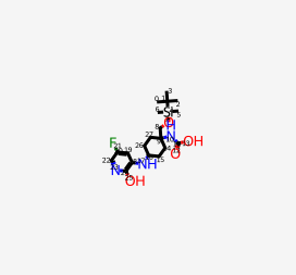 CC(C)(C)[Si](C)(C)OCC1(NC(=O)O)CCC(Nc2cc(F)cnc2O)CC1